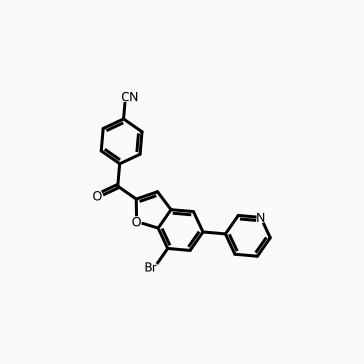 N#Cc1ccc(C(=O)c2cc3cc(-c4cccnc4)cc(Br)c3o2)cc1